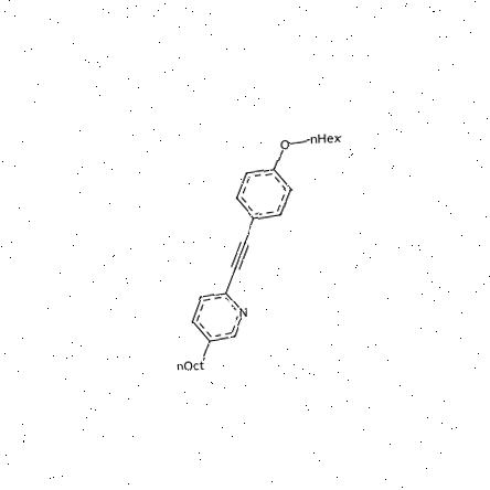 CCCCCCCCc1ccc(C#Cc2ccc(OCCCCCC)cc2)nc1